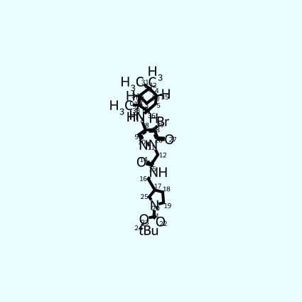 C[C@@H]1[C@H]2C[C@@H](C[C@H]1Nc1cnn(CC(=O)NCC3CCN(C(=O)OC(C)(C)C)C3)c(=O)c1Br)C2(C)C